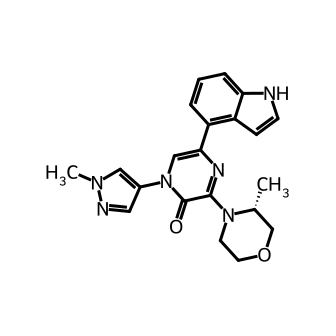 C[C@@H]1COCCN1c1nc(-c2cccc3[nH]ccc23)cn(-c2cnn(C)c2)c1=O